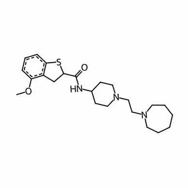 COc1cccc2c1CC(C(=O)NC1CCN(CCN3CCCCCC3)CC1)S2